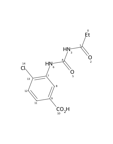 CCC(=O)NC(=O)Nc1cc(C(=O)O)ccc1Cl